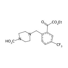 CCOC(=O)C(=O)c1cc(C(F)(F)F)ccc1CN1CCN(C(=O)O)CC1